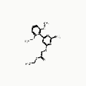 CCOC(=O)CSc1cc(-c2c(OC)cccc2OC)nc(N)n1